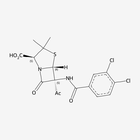 CC(=O)[C@]1(NC(=O)c2ccc(Cl)c(Cl)c2)C(=O)N2[C@@H](C(=O)O)C(C)(C)S[C@@H]21